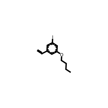 C=[C]c1cc(I)cc(OCCCC)c1